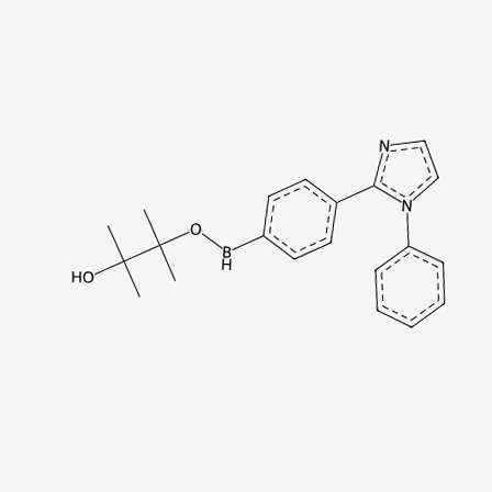 CC(C)(O)C(C)(C)OBc1ccc(-c2nccn2-c2ccccc2)cc1